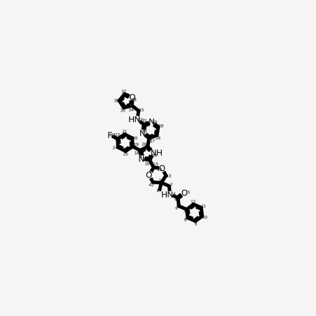 CC1(CNC(=O)Cc2ccccc2)COC(c2nc(-c3ccc(F)cc3)c(-c3ccnc(NCc4ccco4)n3)[nH]2)OC1